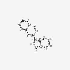 [C]1=Cc2ccccc2CN1n1cnc2ccccc21